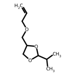 C=CCOCC1COC(C(C)C)O1